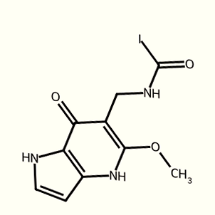 COc1[nH]c2cc[nH]c2c(=O)c1CNC(=O)I